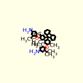 Cc1cc(C2(c3cc(C)c(Oc4ccc(N)cc4C(C)C)c(C)c3)c3ccccc3-c3ccccc32)cc(C)c1Oc1ccc(N)cc1C(C)C